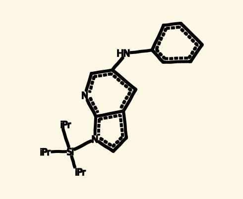 CC(C)[Si](C(C)C)(C(C)C)n1ccc2cc(Nc3ccccc3)cnc21